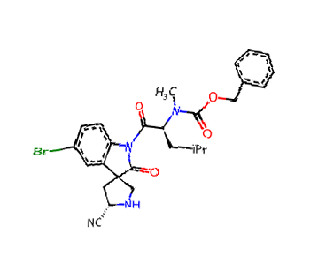 CC(C)C[C@@H](C(=O)N1C(=O)[C@@]2(CN[C@H](C#N)C2)c2cc(Br)ccc21)N(C)C(=O)OCc1ccccc1